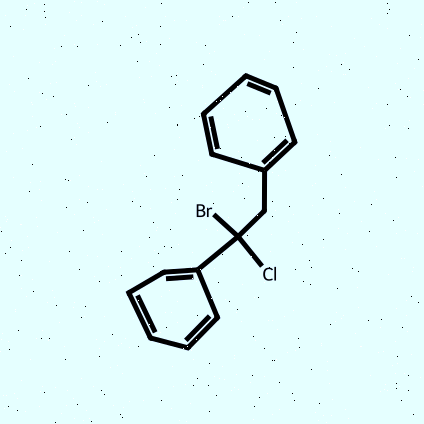 ClC(Br)(Cc1ccccc1)c1ccccc1